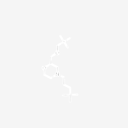 CC(C)(C)CCCN1CCOC(COCC(C)(C)C)C1